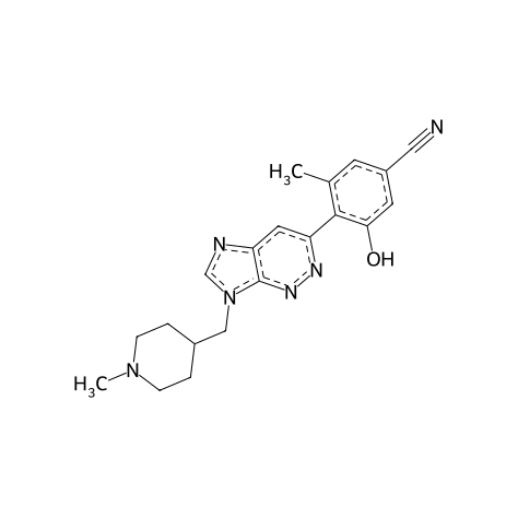 Cc1cc(C#N)cc(O)c1-c1cc2ncn(CC3CCN(C)CC3)c2nn1